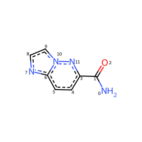 NC(=O)c1ccc2nccn2n1